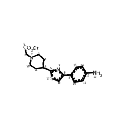 CCOC(=O)CN1CCC(c2nc(-c3ccc(N)cc3)cs2)CC1